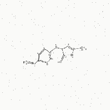 C=Cc1ccc(SC2C=C(C)OC2=O)cc1